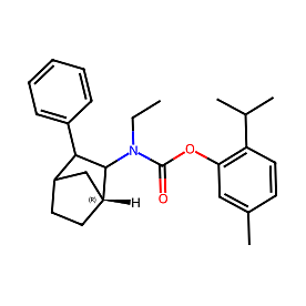 CCN(C(=O)Oc1cc(C)ccc1C(C)C)C1C(c2ccccc2)C2CC[C@@H]1C2